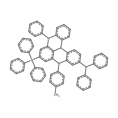 Cc1ccc(N2c3cc(N(c4ccccc4)c4ccccc4)ccc3B3c4ccccc4N(c4ccccc4)c4cc([Si](c5ccccc5)(c5ccccc5)c5ccccc5)cc2c43)cc1